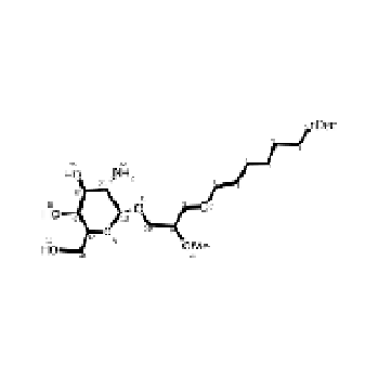 CCCCCCCCCCCCCCCCOCC(CO[C@@H]1OC(CO)[C@@H](O)C(O)[C@@H]1N)OC